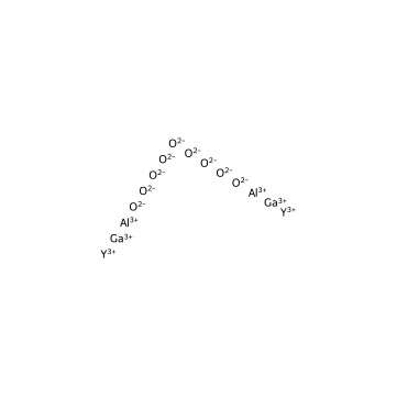 [Al+3].[Al+3].[Ga+3].[Ga+3].[O-2].[O-2].[O-2].[O-2].[O-2].[O-2].[O-2].[O-2].[O-2].[Y+3].[Y+3]